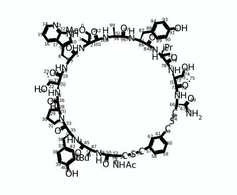 COCC1(C)NC(=O)[C@H](Cc2c[nH]c3ncccc23)NC(=O)[C@H]([C@@H](C)O)NC(=O)[C@@H]2CCCN2C(=O)[C@H](Cc2ccc(O)cc2)NC(=O)[C@H](C(C)(C)C)NC(=O)[C@@H](NC(C)=O)CSCc2cccc(c2)CSC[C@H](C(N)=O)NC(=O)[C@H]([C@@H](C)O)NC(=O)[C@](C)(C(C)C)NC(=O)[C@H](Cc2ccc(O)cc2)NC(=O)[C@H](C)NC1=O